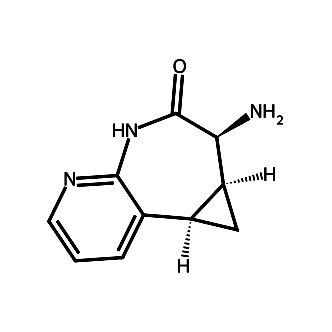 N[C@@H]1C(=O)Nc2ncccc2[C@@H]2C[C@H]12